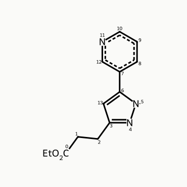 CCOC(=O)CCC1=N[N]C(c2cccnc2)=C1